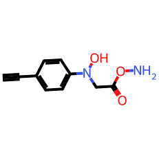 C#Cc1ccc(N(O)CC(=O)ON)cc1